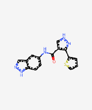 O=C(Nc1ccc2[nH]ncc2c1)c1c[nH]nc1-c1cccs1